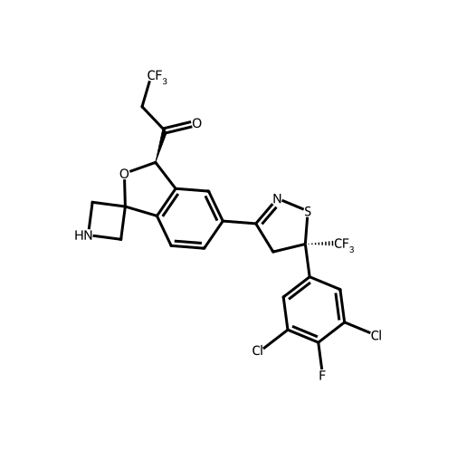 O=C(CC(F)(F)F)[C@@H]1OC2(CNC2)c2ccc(C3=NS[C@](c4cc(Cl)c(F)c(Cl)c4)(C(F)(F)F)C3)cc21